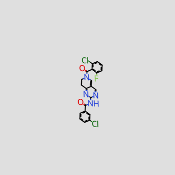 O=C(NC1N=CC2=CN(C(=O)c3c(F)cccc3Cl)CCC2=N1)c1cccc(Cl)c1